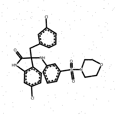 O=C1Nc2cc(Cl)ccc2C1(Cc1cccc(Cl)c1)Nc1cccc(S(=O)(=O)N2CCOCC2)c1